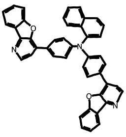 c1ccc2c(N(c3ccc(-c4ccnc5c4oc4ccccc45)cc3)c3ccc(-c4ccnc5c4oc4ccccc45)cc3)cccc2c1